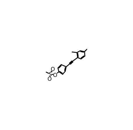 Cc1ccc(C#Cc2ccc(OS(C)(=O)=O)cc2)c(C)c1